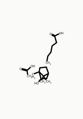 CC(=O)O.CC1(C)C2CCC1(C)C(O)C2.CCCCCC(=O)O